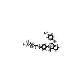 CC(C)(C)[Si](C)(C)OCCNc1ccc(NC(=O)c2nccnc2C(=O)Nc2ccc(C#N)cn2)cc1